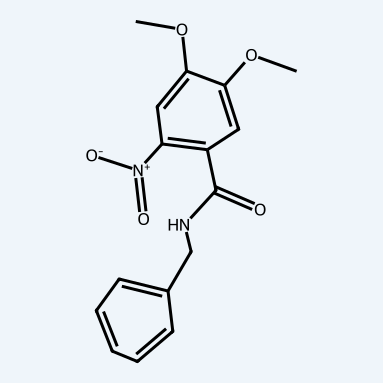 COc1cc(C(=O)NCc2ccccc2)c([N+](=O)[O-])cc1OC